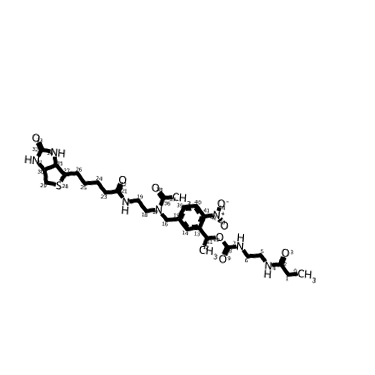 CCC(=O)NCCNC(=O)OC(C)c1cc(CN(CCNC(=O)CCCCC2SCC3NC(=O)NC32)C(C)=O)ccc1[N+](=O)[O-]